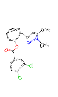 CC(=O)Oc1cc(-c2ccccc2OC(=O)c2ccc(Cl)c(Cl)c2)nn1C